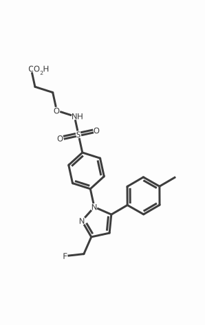 Cc1ccc(-c2cc(CF)nn2-c2ccc(S(=O)(=O)NOCCC(=O)O)cc2)cc1